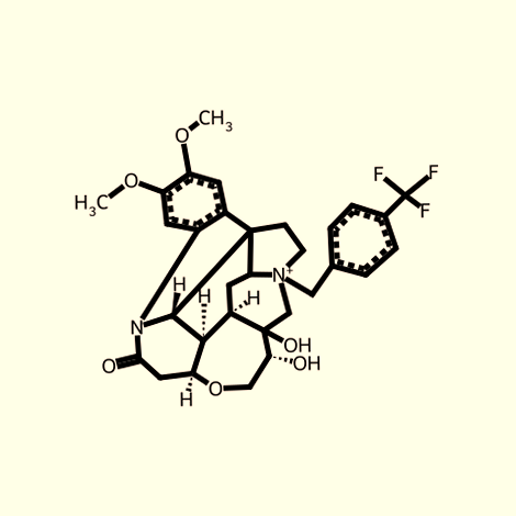 COc1cc2c(cc1OC)C13CC[N+]4(Cc5ccc(C(F)(F)F)cc5)CC5(O)[C@H](O)CO[C@H]6CC(=O)N2[C@H]1[C@H]6[C@H]5CC34